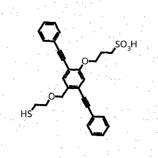 O=S(=O)(O)CCCOc1cc(C#Cc2ccccc2)c(COCCS)cc1C#Cc1ccccc1